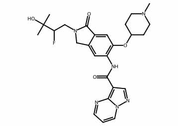 CN1CCC(Oc2cc3c(cc2NC(=O)c2cnn4cccnc24)CN(CC(F)C(C)(C)O)C3=O)CC1